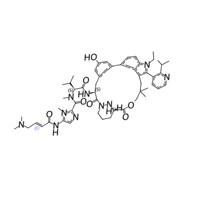 CCn1c(-c2cccnc2C(C)C)c2c3cc(ccc31)-c1cc(O)cc(c1)C[C@H](NC(=O)[C@H](C(C)C)N(C)C(=O)c1ncc(NC(=O)/C=C/CN(C)C)n1C)C(=O)N1CCC[C@H](N1)C(=O)OCC(C)(C)C2